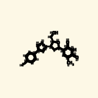 Cc1cn(C2C[C@H](n3cc(-c4ccc(F)cc4)nn3)[C@@H](CO)O2)c(=O)[nH]c1=O